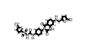 O=C(Nc1ccc(-n2c(=O)[nH]c3cc(NCc4ccc(Cl)o4)ccc3c2=O)cc1)NS(=O)(=O)c1ccc(Cl)s1